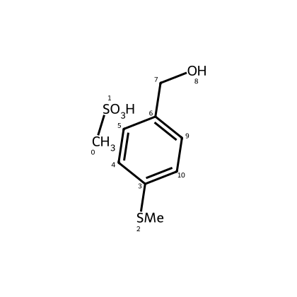 CS(=O)(=O)O.CSc1ccc(CO)cc1